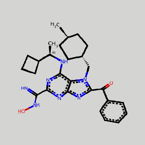 C[C@@H](Nc1nc(C(=N)NO)nc2nc(C(=O)c3ccccc3)n(C[C@H]3CC[C@H](C)CC3)c12)C1CCC1